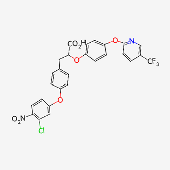 O=C(O)C(Cc1ccc(Oc2ccc([N+](=O)[O-])c(Cl)c2)cc1)Oc1ccc(Oc2ccc(C(F)(F)F)cn2)cc1